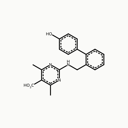 Cc1nc(NCc2ccccc2-c2ccc(O)cc2)nc(C)c1C(=O)O